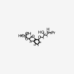 CC(C)NCC(O)COc1cccc2c1OCC(ON(O)O)C2